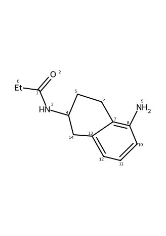 CCC(=O)NC1CCc2c(N)cccc2C1